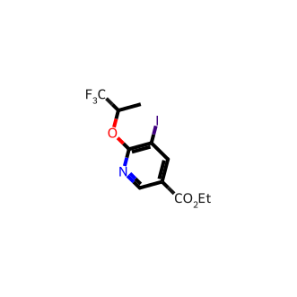 CCOC(=O)c1cnc(OC(C)C(F)(F)F)c(I)c1